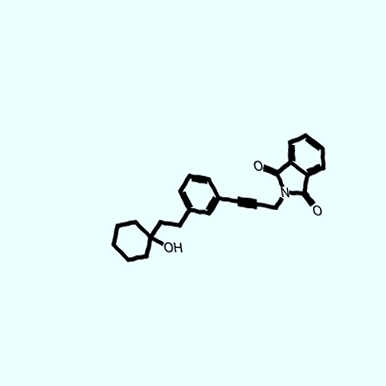 O=C1c2ccccc2C(=O)N1CC#Cc1cccc(CCC2(O)CCCCC2)c1